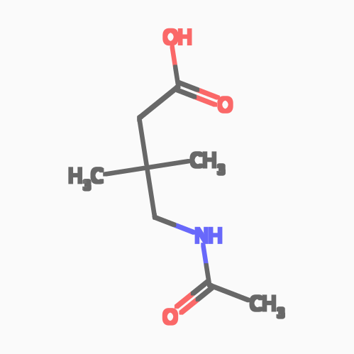 CC(=O)NCC(C)(C)CC(=O)O